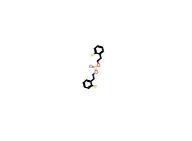 O=S(OCCc1ccccc1F)OCCc1ccccc1F